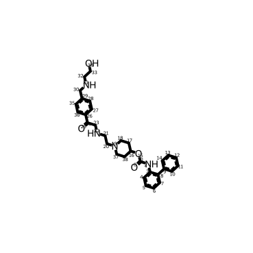 O=C(Nc1ccccc1-c1ccccc1)OC1CCN(CCNCC(=O)c2ccc(CNCCO)cc2)CC1